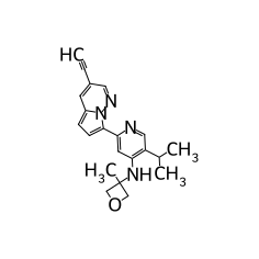 C#Cc1cnn2c(-c3cc(NC4(C)COC4)c(C(C)C)cn3)ccc2c1